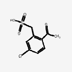 CC(=O)c1ccc(Cl)cc1CS(=O)(=O)O